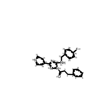 O=C(CCc1ccccc1)n1nc(-c2ccncc2)nc1NCc1ccc(F)cc1